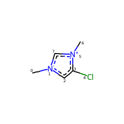 Cn1cc(Cl)[n+](C)c1